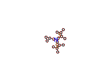 C1=CC(c2ccc3c4ccccc4c4ccccc4c3c2)CC=C1n1c2ccc(-c3cc(-c4ccccc4)cc4c3sc3c(-c5ccccc5)cc(-c5ccccc5)cc34)cc2c2cc(-c3cc(-c4ccccc4)cc4c3sc3c(-c5ccccc5)cc(-c5ccccc5)cc34)ccc21